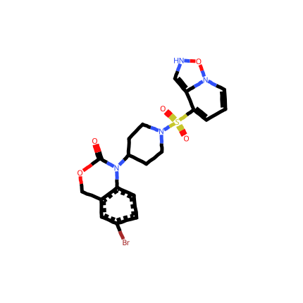 O=C1OCc2cc(Br)ccc2N1C1CCN(S(=O)(=O)C2=CC=CN3ONC=C23)CC1